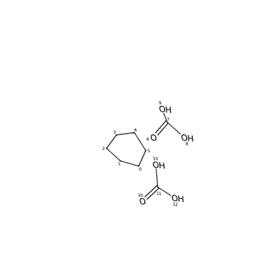 C1CCCCC1.O=C(O)O.O=C(O)O